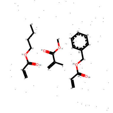 C=C(C)C(=O)OC.C=CC(=O)OCCCC.C=CC(=O)OCc1ccccc1